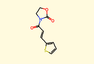 O=C(C=Cc1cccs1)N1CCOC1=O